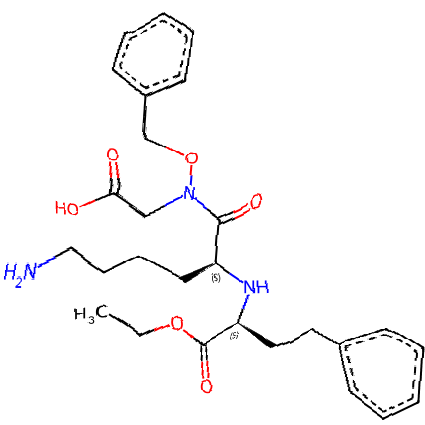 CCOC(=O)[C@H](CCc1ccccc1)N[C@@H](CCCCN)C(=O)N(CC(=O)O)OCc1ccccc1